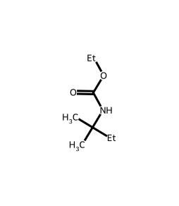 CCOC(=O)NC(C)(C)CC